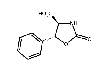 O=C1N[C@H](C(=O)O)[C@@H](c2ccccc2)O1